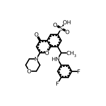 CC(Nc1cc(F)cc(F)c1)c1cc(S(=O)(=O)O)cc2c(=O)cc(N3CCOCC3)oc12